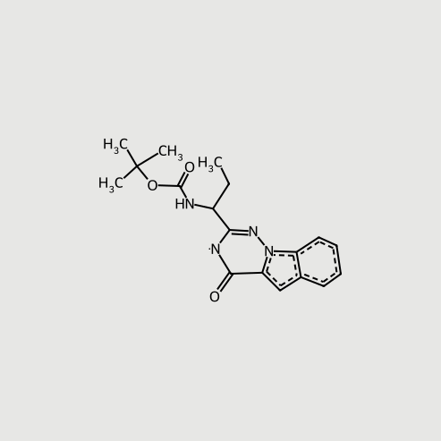 CCC(NC(=O)OC(C)(C)C)C1=Nn2c(cc3ccccc32)C(=O)[N]1